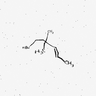 [CH2]CCCCC(C)(C)/C=C/C